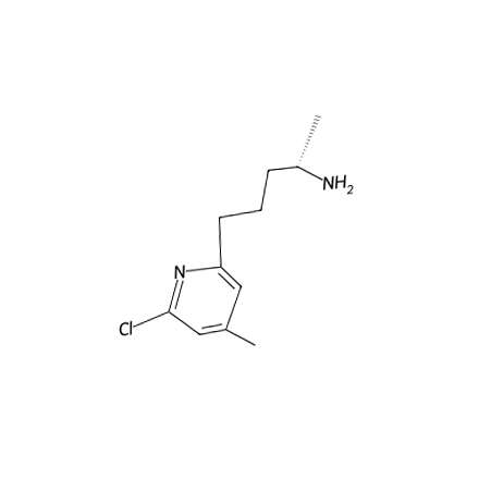 Cc1cc(Cl)nc(CCC[C@H](C)N)c1